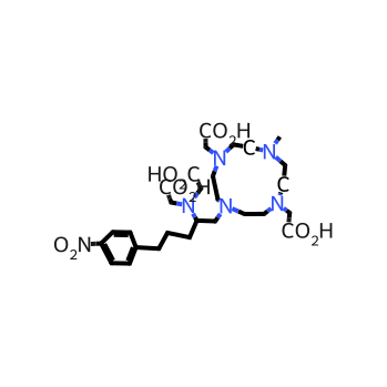 CN1CCN(CC(=O)O)CCN(CC(CCCc2ccc([N+](=O)[O-])cc2)N(CC(=O)O)CC(=O)O)CCN(CC(=O)O)CC1